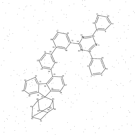 c1ccc(-c2nc(-c3ccccc3)nc(-c3cccc(-c4cccc(-c5cccc6c5-c5ccccc5C65C6CC7CC(C6)CC5C7)c4)c3)n2)cc1